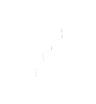 CCOC[CH]COC